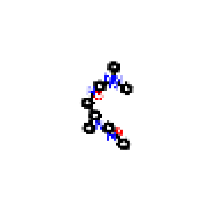 C1=C(c2nc(-c3ccccc3)nc(-c3ccccc3)n2)C=C2OC(c3cccc(-c4ccc5c(c4)c4ccccc4n5-c4ccc5oc(-c6ccccc6)nc5c4)c3)=NC2C1